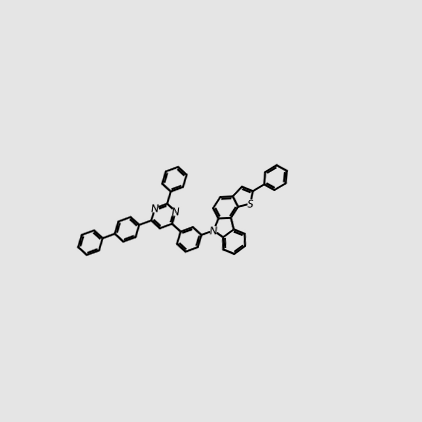 c1ccc(-c2ccc(-c3cc(-c4cccc(-n5c6ccccc6c6c7sc(-c8ccccc8)cc7ccc65)c4)nc(-c4ccccc4)n3)cc2)cc1